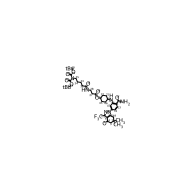 CC1(C)CC(=O)c2c(C(F)(F)F)nn(-c3ccc(C(N)=O)c(NC4CCC(OC(=O)CCNC(=O)CCCCN(C(=O)OC(C)(C)C)C(=O)OC(C)(C)C)CC4)c3)c2C1